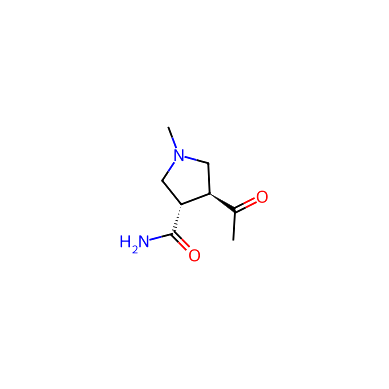 CC(=O)[C@@H]1CN(C)C[C@H]1C(N)=O